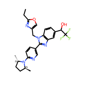 CCc1nc(Cn2c(-c3ccc(N4[C@@H](C)CC[C@@H]4C)nc3)nc3cc(C(O)C(F)(F)F)ccc32)co1